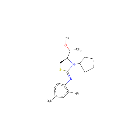 CC(C)c1cc([N+](=O)[O-])ccc1/N=C1\SC[C@@H]([C@@H](C)OC(C)(C)C)N1C1CCCC1